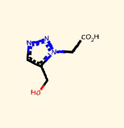 O=C(O)Cn1nncc1CO